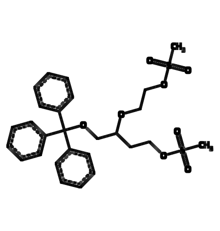 CS(=O)(=O)OCCOC(CCOS(C)(=O)=O)COC(c1ccccc1)(c1ccccc1)c1ccccc1